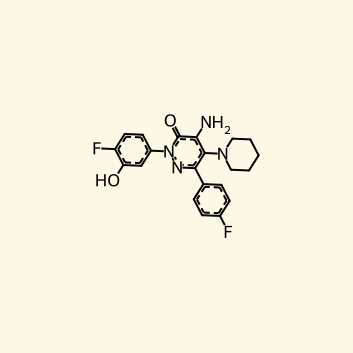 Nc1c(N2CCCCC2)c(-c2ccc(F)cc2)nn(-c2ccc(F)c(O)c2)c1=O